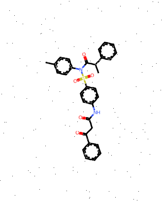 Cc1ccc(N(C(=O)C(C)c2ccccc2)S(=O)(=O)c2ccc(NC(=O)CC(=O)c3ccccc3)cc2)cc1